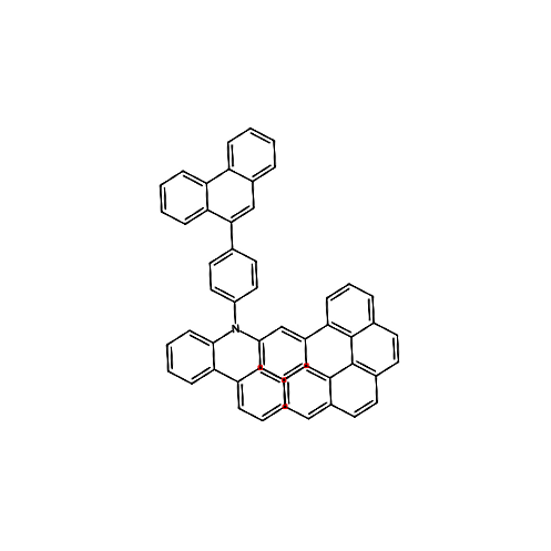 c1ccc(-c2ccccc2N(c2ccc(-c3cc4ccccc4c4ccccc34)cc2)c2cccc(-c3cccc4ccc5ccc6ccccc6c5c34)c2)cc1